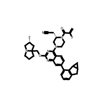 C=C(F)C(=O)N1CCN(c2nc(OCC34CCCN3C[C@H](F)C4)nc3cc(-c4cccc5c4C4CC4C5)ccc23)C[C@@H]1CC#N